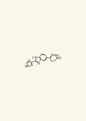 O=C1CCC(c2ccc3[nH]c(-c4c[nH]cn4)nc3c2)=NN1